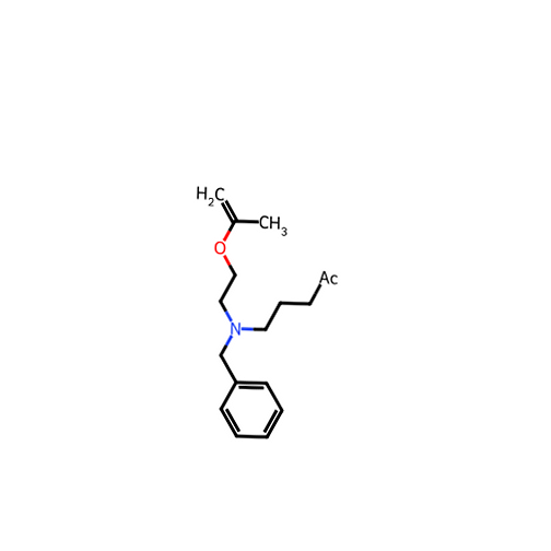 C=C(C)OCCN(CCCC(C)=O)Cc1ccccc1